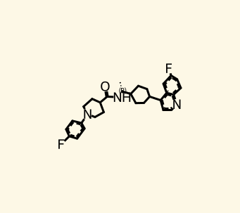 C[C@@H](NC(=O)C1CCN(c2ccc(F)cc2)CC1)C1CCC(c2ccnc3ccc(F)cc23)CC1